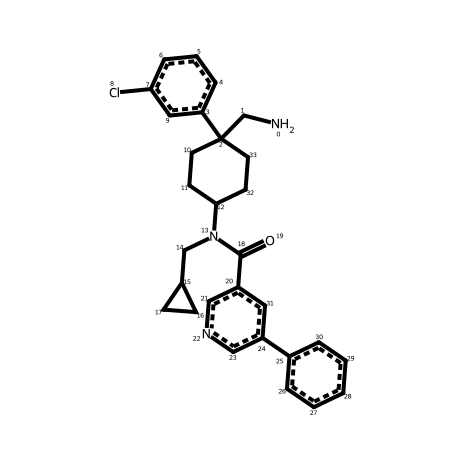 NCC1(c2cccc(Cl)c2)CCC(N(CC2CC2)C(=O)c2cncc(-c3ccccc3)c2)CC1